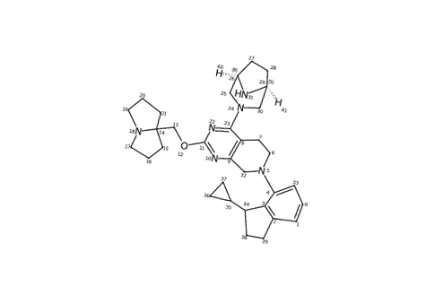 c1cc2c(c(N3CCc4c(nc(OCC56CCCN5CCC6)nc4N4C[C@H]5CC[C@@H](C4)N5)C3)c1)C(C1CC1)CC2